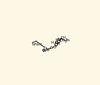 CCCCC/C=C\C/C=C\CCCCCCCCOCC(CN1CCCC1)OCCOCCO[C@H]1CC[C@@]2(C)C(=CCC3[C@@H]4CC[C@H]([C@H](C)CCCC(C)C)[C@@]4(C)CC[C@@H]32)C1